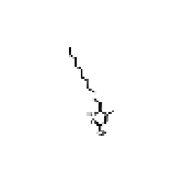 CCCCCCCCCC/C=C(O)/C(C)=C\C(=O)O